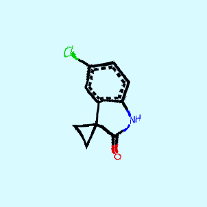 O=C1Nc2ccc(Cl)cc2C12CC2